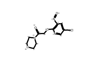 O=Nc1cc(Cl)cnc1OCC(=O)N1CCOCC1